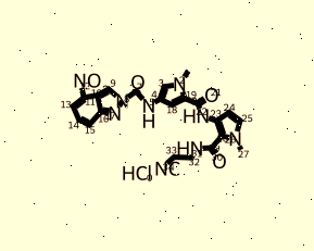 Cl.Cn1cc(NC(=O)n2cc3c([N+](=O)[O-])cccc3n2)cc1C(=O)Nc1ccn(C)c1C(=O)NCCC#N